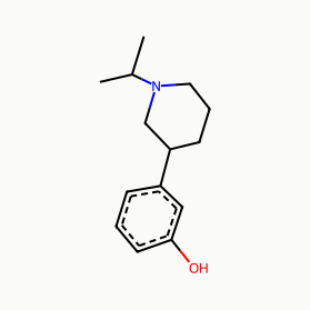 CC(C)N1CCCC(c2cccc(O)c2)C1